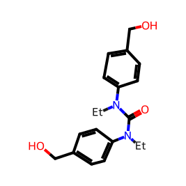 CCN(C(=O)N(CC)c1ccc(CO)cc1)c1ccc(CO)cc1